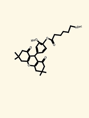 CCCCCCCCCCCCCCCC(=O)Oc1ccc(C2C3=C(CC(C)(C)CC3=O)OC3=C2C(=O)CC(C)(C)C3)cc1OC